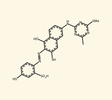 CSc1nc(C)nc(Nc2ccc3c(O)c(N=Nc4ccc(S)cc4S(=O)(=O)O)c(S)cc3c2)n1